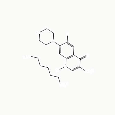 CCCCCCCCCCCCCCCC(=O)O.CCn1cc(C(=O)O)c(=O)c2cc(F)c(N3CCNCC3)cc21